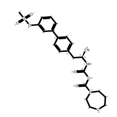 CS(=O)(=O)Oc1cccc(-c2ccc(C[C@@H](C#N)NC(=O)OC(=O)N3CCCOCC3)cc2)c1